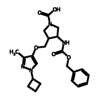 Cc1nn(C2CCC2)cc1OCC1CN(C(=O)O)CC1NC(=O)OCc1ccccc1